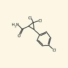 NC(=O)C1C(c2ccc(Cl)cc2)C1(Cl)Cl